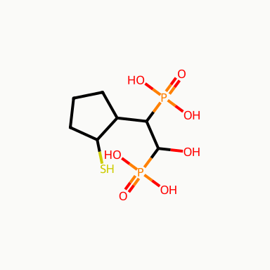 O=P(O)(O)C(O)C(C1CCCC1S)P(=O)(O)O